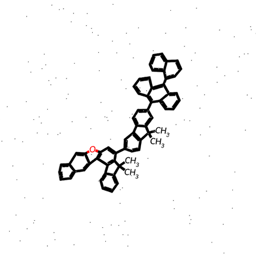 CC1(C)c2ccc(-c3cc4oc5cc6ccccc6cc5c4c4c3C(C)(C)c3ccccc3-4)cc2-c2ccc(-c3c4ccccc4c(-c4cccc5ccccc45)c4ccccc34)cc21